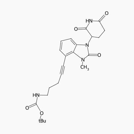 Cn1c(=O)n(C2CCC(=O)NC2=O)c2cccc(C#CCCCNC(=O)OC(C)(C)C)c21